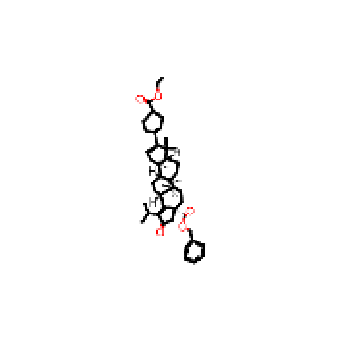 CCOC(=O)C1CC=C(C2=CC[C@]3(C)[C@H]4CC[C@@H]5C6=C(C(C)C)C(=O)C[C@]6(C(=O)OCc6ccccc6)CC[C@@]5(C)[C@]4(C)CC[C@H]3C2(C)C)CC1